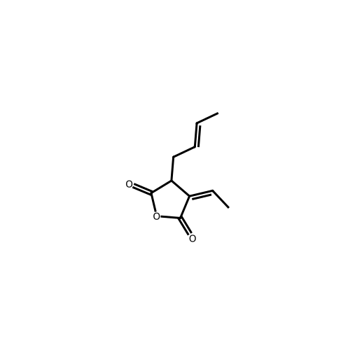 CC=CCC1C(=O)OC(=O)C1=CC